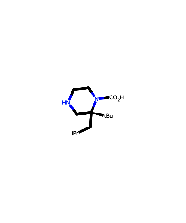 CC(C)C[C@]1(C(C)(C)C)CNCCN1C(=O)O